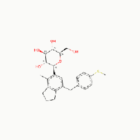 CSc1ccc(Cc2cc([C@@H]3O[C@H](CO)[C@@H](O)[C@H](O)[C@H]3O)c(C)c3c2CCC3)cc1